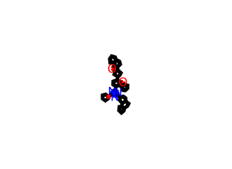 C1=CC(c2nc(C3=CC=C4C=Cc5ccccc5C4C3)nc(-c3ccc(C4C=c5oc6c(ccc7ccccc76)c5=CC4)c4oc5ccccc5c34)n2)=CCC1